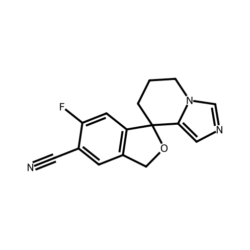 N#Cc1cc2c(cc1F)C1(CCCn3cncc31)OC2